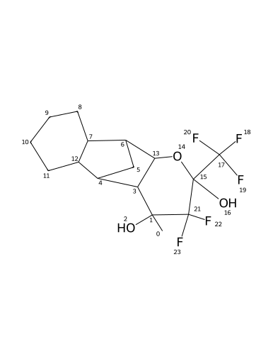 CC1(O)C2C3CC(C4CCCCC43)C2OC(O)(C(F)(F)F)C1(F)F